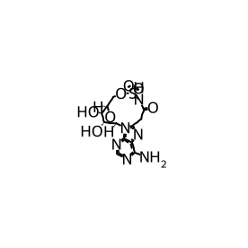 Nc1ncnc2c1nc1n2[C@@H]2O[C@H](COS(=O)(=O)NC(=O)C1)[C@@H](O)[C@H]2O